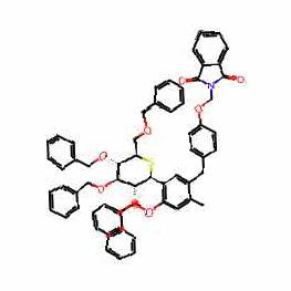 Cc1cc(OCc2ccccc2)c([C@@H]2S[C@H](COCc3ccccc3)[C@@H](OCc3ccccc3)[C@H](OCc3ccccc3)[C@H]2OCc2ccccc2)cc1Cc1ccc(OCN2C(=O)c3ccccc3C2=O)cc1